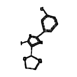 Clc1cccc(-c2nc(C3OCCO3)c(I)s2)c1